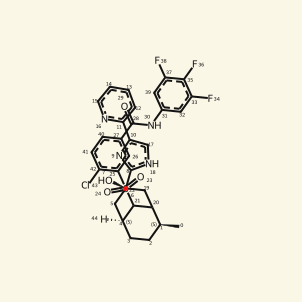 C[C@H]1CC[C@H]2C[C@](O)(c3nc(-c4ccccn4)c[nH]3)CC1C2S(=O)(=O)c1cc(C(=O)Nc2cc(F)c(F)c(F)c2)ccc1Cl